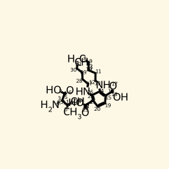 CC(C)[C@H](N)C(=O)O.CCCCCNc1c(C(=O)O)ccc(C(=O)O)c1NCCCCC